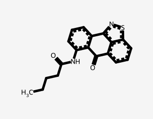 CCCCC(=O)Nc1cccc2c1C(=O)c1cccc3snc-2c13